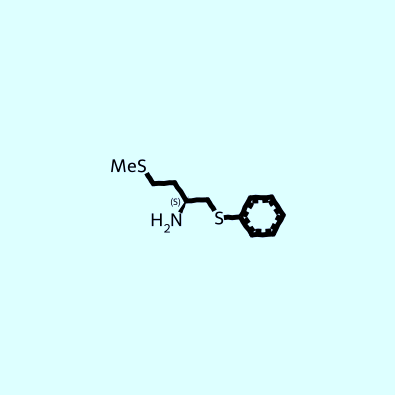 CSCC[C@H](N)CSc1ccccc1